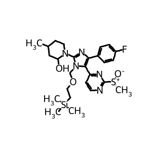 CC1CCN(c2nc(-c3ccc(F)cc3)c(-c3ccnc([S+](C)[O-])n3)n2COCC[Si](C)(C)C)C(O)C1